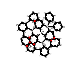 Cc1cc2c3c(c1)N(c1c(-c4ccccc4)cccc1-c1ccccc1)c1cccc4c1B3c1c(cccc1[Si]4(c1ccccc1)c1ccccc1)N2c1c(-c2ccccc2)cccc1-c1ccccc1